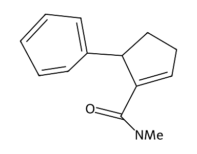 CNC(=O)C1=CCCC1c1ccccc1